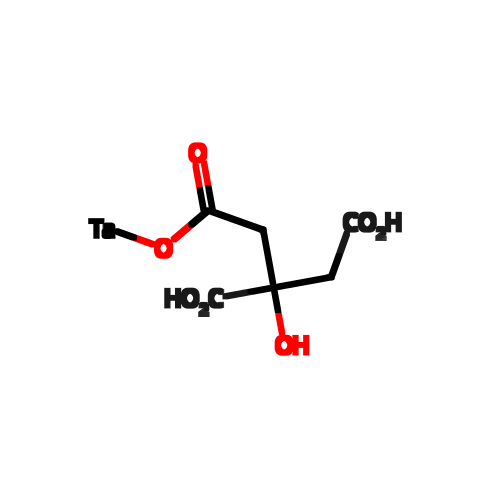 O=C(O)CC(O)(CC(=O)[O][Ta])C(=O)O